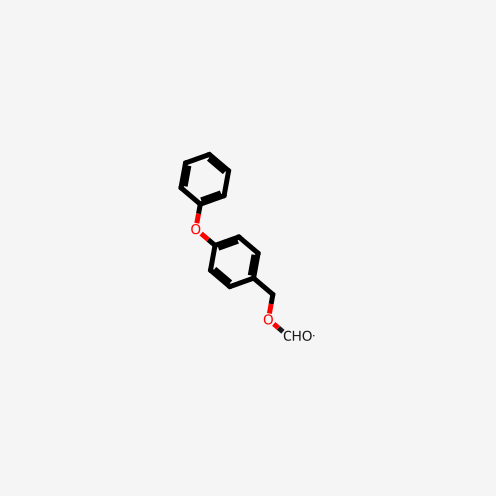 O=[C]OCc1ccc(Oc2ccccc2)cc1